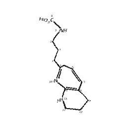 O=C(O)NCCCc1ccc2c(n1)NCCC2